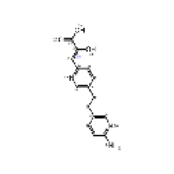 Nc1ccc(CCc2ccc(/C=C(\O)C(=O)O)nc2)cn1